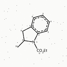 CCOC(=O)N1c2ccccc2CC1C